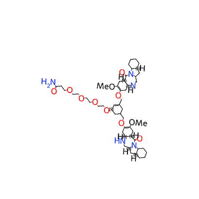 COC1=C(OCC2=C[C@@H](OCCOCCOCCOCCC(N)=O)CC(COC3=C(OC)C[C@@H]4C(=O)N5C6CCCC[C@@H]6C[C@H]5CN[C@@H]4C3)C2)C[C@@H]2N=CC3C[C@@H]4CCCCC4N3C(=O)[C@@H]2C1